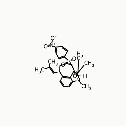 CC(C)=C[C@H]1CCC[C@]23c4c1cccc4N(C)[C@H]2OC(C)(C)N3S(=O)(=O)c1ccc([N+](=O)[O-])cc1